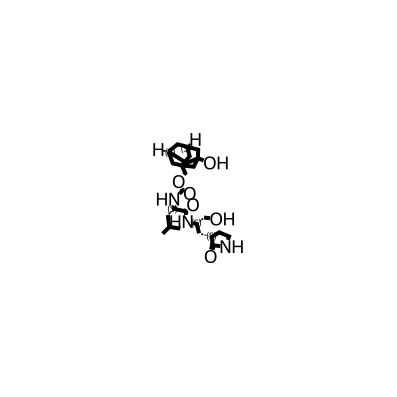 CC(C)C[C@H](NC(=O)OCC12C[C@@H]3C[C@@H](CC(O)(C3)C1)C2)C(=O)N[C@H](CO)C[C@@H]1CCNC1=O